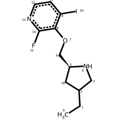 CCC1CN[C@H](COc2c(I)ccnc2F)C1